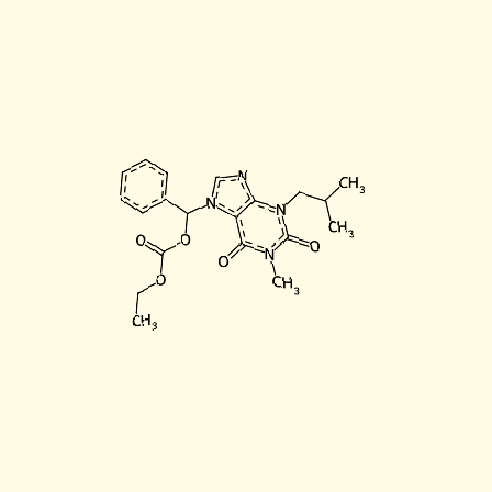 CCOC(=O)OC(c1ccccc1)n1cnc2c1c(=O)n(C)c(=O)n2CC(C)C